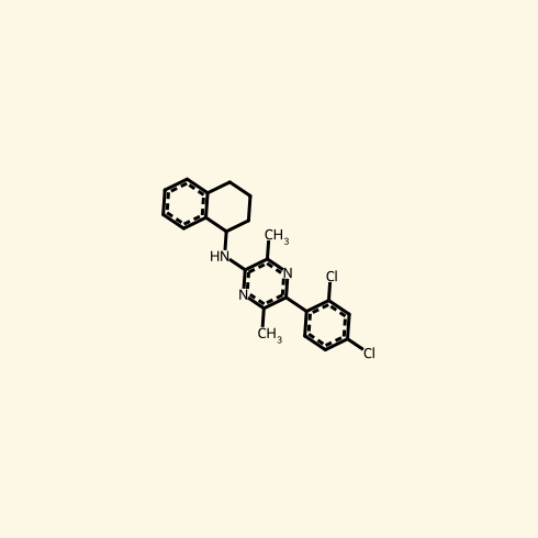 Cc1nc(-c2ccc(Cl)cc2Cl)c(C)nc1NC1CCCc2ccccc21